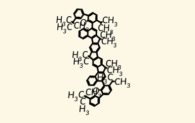 CC(C)c1ccc2c(oc3c(C(C)(C)C)cccc32)c1-c1cc2c(c3ccccc13)-c1cc3c(cc1C2(C)C)-c1cc2c(cc1C3(C)C)-c1c(cc(-c3c(C(C)C)ccc4c3oc3c(C(C)(C)C)cccc34)c3ccccc13)C2(C)C